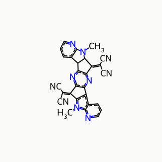 CN1c2ncccc2C2c3nc4c(nc3C(=C(C#N)C#N)C21)-c1c(n(C)c2ncccc12)C4=C(C#N)C#N